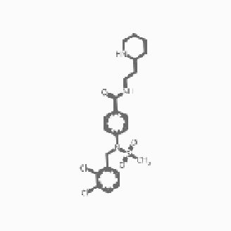 CS(=O)(=O)N(Cc1cccc(Cl)c1Cl)c1ccc(C(=O)NCCC2CCCCN2)cc1